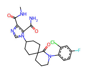 CNC(=O)c1ncn(C2CCC3(CCCN(c4ccc(F)cc4Cl)C3=O)CC2)c1C(N)=O